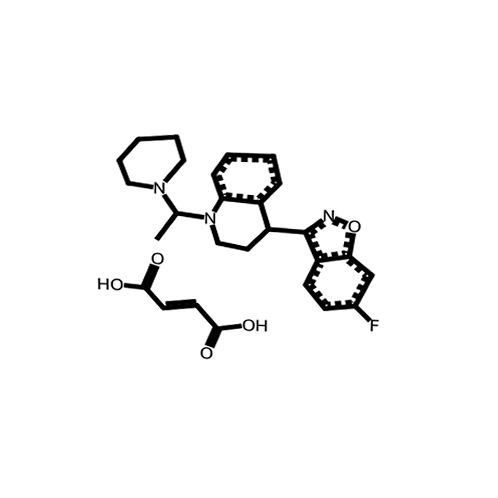 CC(N1CCCCC1)N1CCC(c2noc3cc(F)ccc23)c2ccccc21.O=C(O)C=CC(=O)O